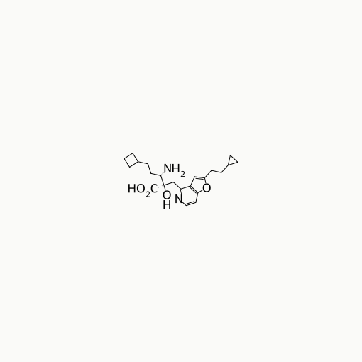 N[C@@H](CCC1CCC1)[C@](O)(Cc1nccc2oc(CCC3CC3)cc12)C(=O)O